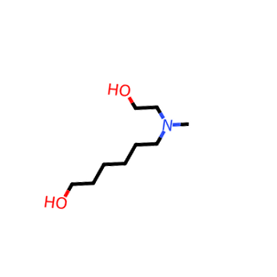 CN(CCO)CCCCCCO